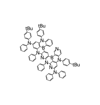 CC(C)(C)c1ccc(N(c2ccccc2)c2cc3c4c(c2)N(c2ccccc2)c2nc5c(cc2B4c2ccccc2N3c2ccc(C(C)(C)C)cc2)B2c3cnccc3N(c3ccc(C(C)(C)C)cc3)c3cc(N(c4ccccc4)c4ccccc4)nc(c32)N5c2ccccc2)cc1